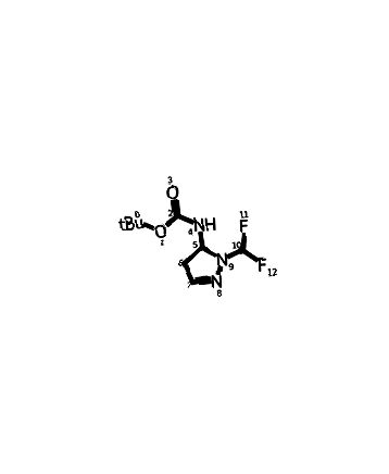 CC(C)(C)OC(=O)NC1CC=NN1C(F)F